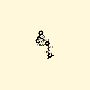 COc1ccc2cc(-c3ccccc3)c(C(=O)C(=O)Nc3ccc(NCCNc4cc(C)cc(C)n4)cc3)n2c1